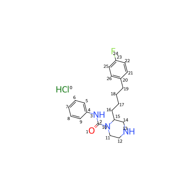 Cl.O=C(Nc1ccccc1)N1CCNCC1CCCCc1ccc(F)cc1